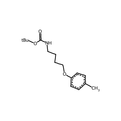 Cc1ccc(OCCCCNC(=O)OC(C)(C)C)cc1